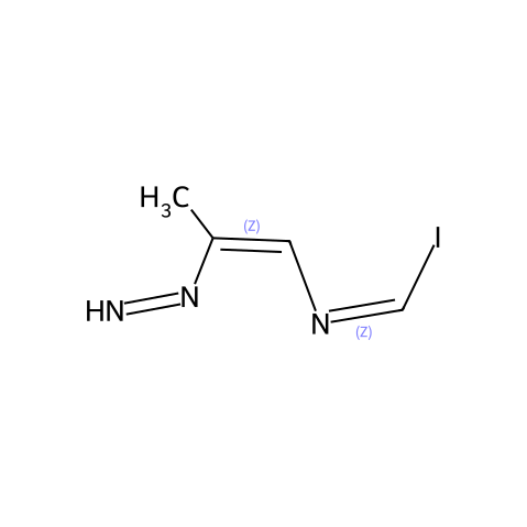 C/C(=C/N=C\I)N=N